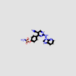 N#Cc1cnc(Nn2cnc3cccnc32)nc1-c1ccc(OS(N)(=O)=O)cc1